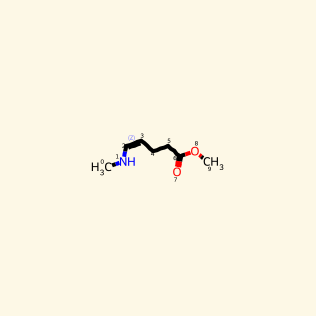 CN/C=C\CCC(=O)OC